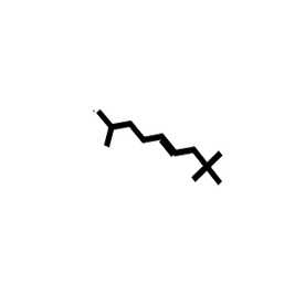 [CH2]C(C)CCC=CCC(C)(C)C